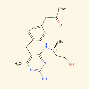 CCCC[C@@H](CCO)Nc1nc(N)nc(C)c1Cc1ccc(CC(=O)OC)cc1